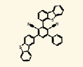 N#Cc1c(-c2ccccc2)cc(-c2ccc3sc4ccccc4c3c2)c(C#N)c1-c1cccc2c1sc1ccccc12